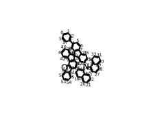 c1ccc(-c2ccc3c(c2)C2(c4cc(N(c5cccc6ccccc56)c5cccc6ccccc56)ccc4-3)c3ccccc3-c3c2ccc2c3oc3ccccc32)cc1